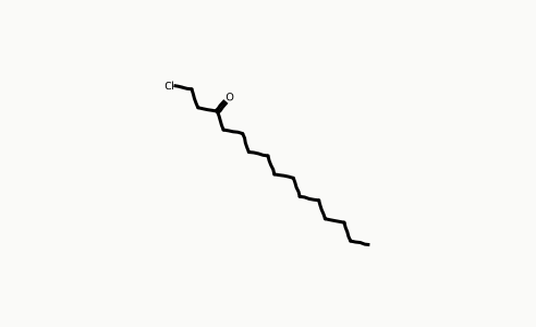 CCCCCCCCCCCCC(=O)CCCl